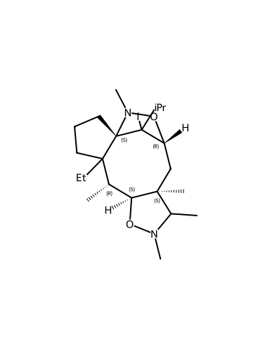 CCC12CCC[C@]13N(C)O[C@H](C[C@@]1(C)C(C)N(C)O[C@H]1[C@@H]2C)C3(I)C(C)C